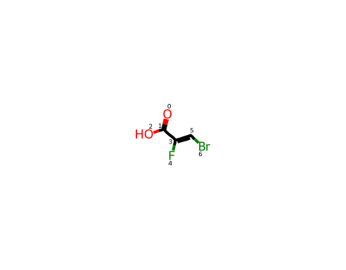 O=C(O)C(F)=CBr